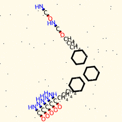 C.C.C.C.C.C.C1CCCCC1.C1CCCCC1.C1CCCCC1.N=C=O.N=C=O.N=C=O.N=C=O.N=C=O.N=C=O.N=C=O